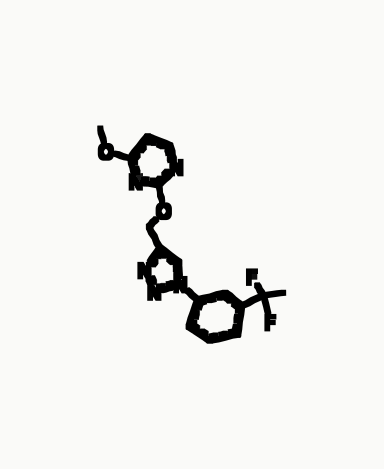 COc1ccnc(OCc2cn(-c3cccc(C(C)(F)F)c3)nn2)n1